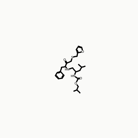 CC(C)COC(=O)NC(CNC(Cc1ccccc1)C(=O)CSCc1ccco1)CC(C)C